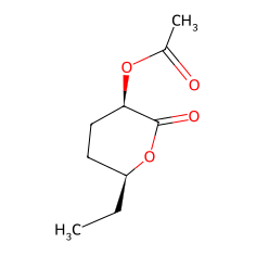 CC[C@H]1CC[C@@H](OC(C)=O)C(=O)O1